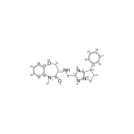 CN1C(=O)[C@@H](NCc2nc3n(n2)CCC3c2ccccc2)COc2ccccc21